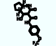 O=C(Nc1ccc(OC(F)(F)F)cc1)C1=C(O)[C@@H]2CCC[C@@H]2NC1=O